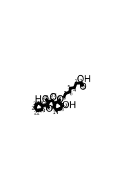 O=C(O)CCCCCCOc1c(O)ccc2oc(-c3ccccc3)c(O)c(=O)c12